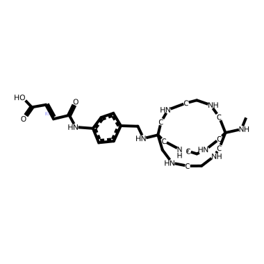 CNC12CNCCNCC(NCc3ccc(NC(=O)/C=C/C(=O)O)cc3)(CNCCNC1)CNCCNC2